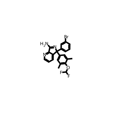 Cc1cc(C2(c3cccc(Br)c3)N=C(N)c3ncccc32)cc(C)c1OC(F)F